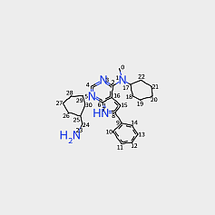 CN(c1ncnc2[nH]c(-c3ccccc3)cc12)C1CCCCC1.NCC1CCCCC1